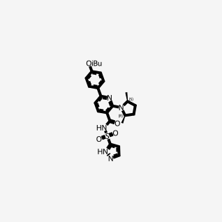 CC(C)COc1ccc(-c2ccc(C(=O)NS(=O)(=O)c3ccn[nH]3)c(N3[C@H](C)CC[C@@H]3C)n2)cc1